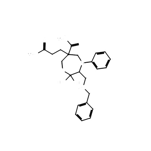 COC(=O)CCC1(C(=O)OC)COC(C)(C)C(COCc2ccccc2)N(c2ccccc2)C1